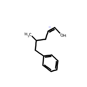 CC(C/C=C\O)Cc1ccccc1